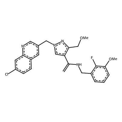 C=C(NCc1cccc(OC)c1F)c1cn(Cc2cnc3cc(Cl)ccc3c2)nc1COC